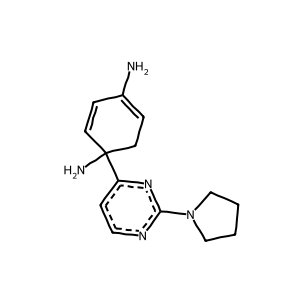 NC1=CCC(N)(c2ccnc(N3CCCC3)n2)C=C1